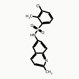 Cc1ccc2cc(NS(=O)(=O)c3cccc(Cl)c3C)ccc2n1